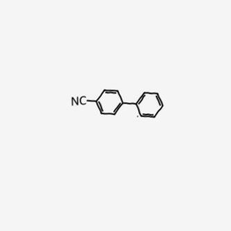 N#Cc1ccc(-c2[c]cccc2)cc1